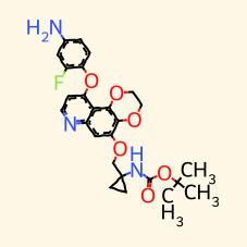 CC(C)(C)OC(=O)NC1(COc2cc3nccc(Oc4ccc(N)cc4F)c3c3c2OCCO3)CC1